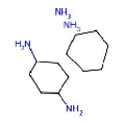 C1CCCCC1.N.N.NC1CCC(N)CC1